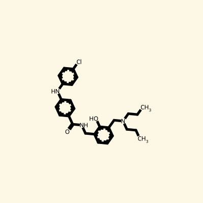 CCCN(CCC)Cc1cccc(CNC(=O)c2ccc(Nc3ccc(Cl)cc3)cc2)c1O